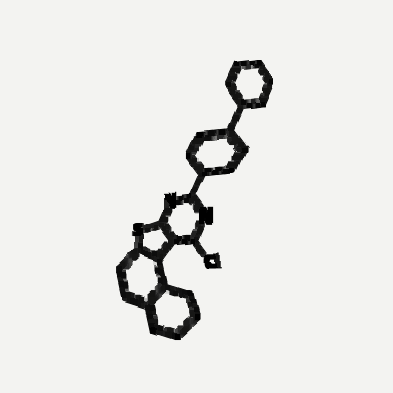 Clc1nc(-c2ccc(-c3ccccc3)cc2)nc2sc3ccc4ccccc4c3c12